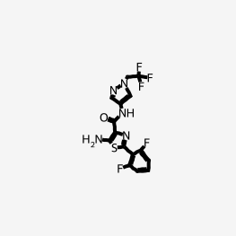 Nc1sc(-c2c(F)cccc2F)nc1C(=O)Nc1cnn(CC(F)(F)F)c1